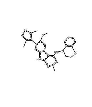 COc1cc2c(cc1-c1c(C)noc1C)[nH]c1nc(C)nc(N[C@@H]3CCOc4ccccc43)c12